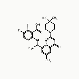 Cc1cc(C(C)Nc2ccc(F)c(F)c2C(=O)O)c2oc(N3CCC(C)(C)CC3)cc(=O)c2c1